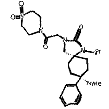 CCCN1C(=O)N(CC(=O)N2CCS(=O)(=O)CC2)C[C@]12CC[C@](NC)(c1ccccc1)CC2